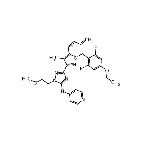 C=C/C=C\c1c(C)c(-c2nc(Nc3ccncc3)n(CCOC)n2)nn1Cc1c(F)cc(OCC)cc1F